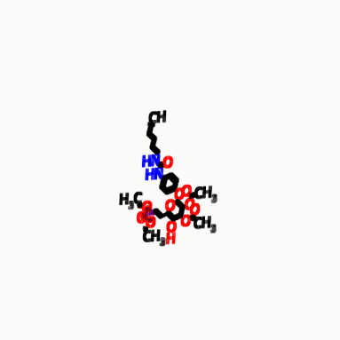 C#CCCCCNC(=O)Nc1ccc(O[C@H]2O[C@H](CCP(=O)(OCC)OCC)[C@@H](O)[C@H](OC(C)=O)[C@@H]2OC(C)=O)cc1